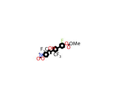 COC(=O)Oc1ccc(-c2ccc(C(C)C(O)(c3ccc4oc(=O)n(C)c4c3)C(F)(F)F)c(C(F)(F)F)c2)cc1F